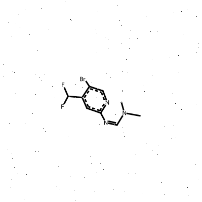 CN(C)/C=N\c1cc(C(F)F)c(Br)cn1